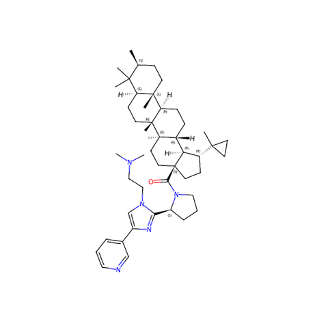 C[C@H]1CC[C@]2(C)[C@H]3CC[C@@H]4[C@H]5[C@H](C6(C)CC6)CC[C@]5(C(=O)N5CCC[C@H]5c5nc(-c6cccnc6)cn5CCN(C)C)CC[C@@]4(C)[C@]3(C)CC[C@H]2C1(C)C